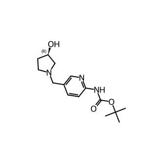 CC(C)(C)OC(=O)Nc1ccc(CN2CC[C@@H](O)C2)cn1